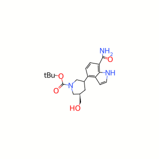 CC(C)(C)OC(=O)N1CC(c2ccc(C(N)=O)c3[nH]ccc23)C[C@@H](CO)C1